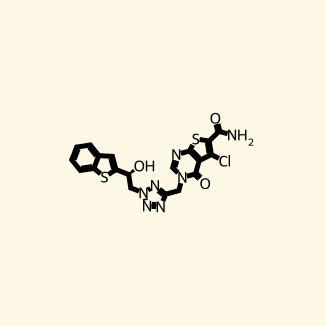 NC(=O)c1sc2ncn(Cc3nnn(C[C@H](O)c4cc5ccccc5s4)n3)c(=O)c2c1Cl